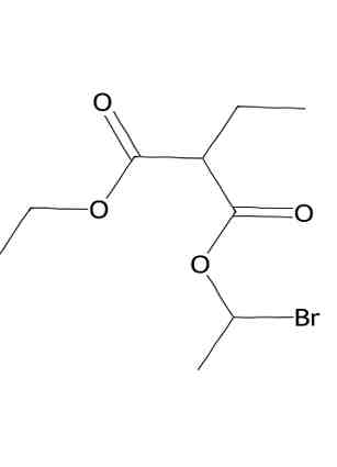 CCOC(=O)C(CC)C(=O)OC(C)Br